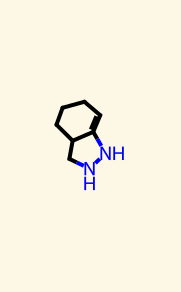 C1=C2NNCC2CCC1